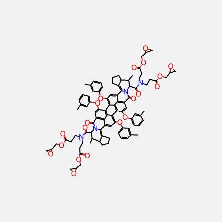 Cc1cccc(Oc2cc3c(=O)n4c(c5cc(Oc6cccc(C)c6)c6c7c(Oc8cccc(C)c8)cc8c(=O)n9c(c%10cc(Oc%11cccc(C)c%11)c(c2c6c35)c7c8%10)=C2CCCC2C(C)C9C(=O)N(CCC(=O)OCC2CO2)CCC(=O)OCC2CO2)=C2CCCC2C(C)C4C(=O)N(CCC(=O)OCC2CO2)CCC(=O)OCC2CO2)c1